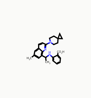 Cc1cc(C(C)Nc2ccccc2C(=O)O)c2nc(N3CCC4(CC3)CC4)ccc2c1